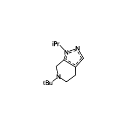 CC(C)n1ncc2c1CN(C(C)(C)C)CC2